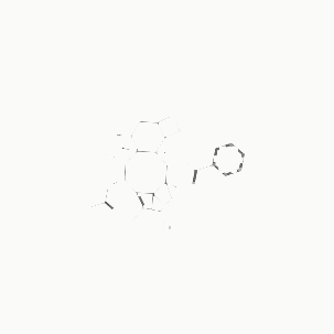 CC(=O)O[C@@H]1C2=C(C)[C@@H](O)C[C@@](O)([C@@H](OC(=O)c3ccccc3)[C@@H]3[C@]4(C)CO[C@@H]4C[C@H](O)[C@@]3(C)[C@H]1O)C2(C)C